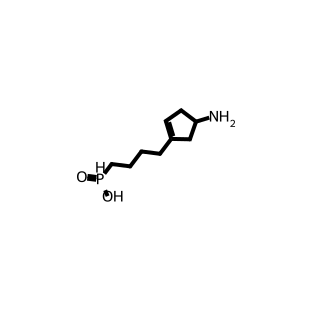 NC1CC=C(CCCC[PH](=O)O)C1